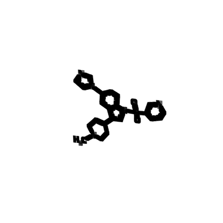 CN1CC=C(c2cn(S(=O)(=O)c3cccnc3)c3ccc(-n4ccnc4)cc23)CC1